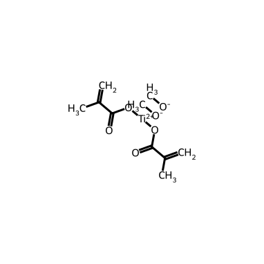 C=C(C)C(=O)[O][Ti+2][O]C(=O)C(=C)C.C[O-].C[O-]